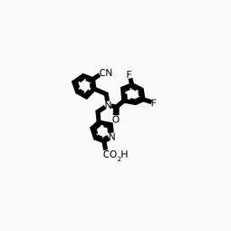 N#Cc1ccccc1CN(Cc1ccc(C(=O)O)nc1)C(=O)c1cc(F)cc(F)c1